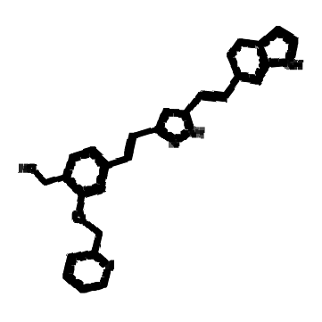 OCc1ccc(/C=C/c2cc(/C=C/c3ccc4cc[nH]c4c3)[nH]n2)cc1OCc1ccccn1